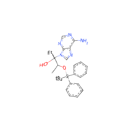 CCC(O)(C(C)O[Si](c1ccccc1)(c1ccccc1)C(C)(C)C)n1cnc2c(N)ncnc21